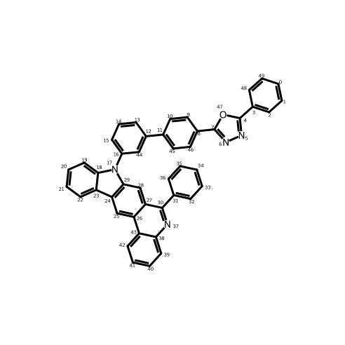 c1ccc(-c2nnc(-c3ccc(-c4cccc(-n5c6ccccc6c6cc7c(cc65)c(-c5ccccc5)nc5ccccc57)c4)cc3)o2)cc1